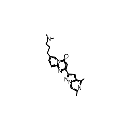 Cc1cn2nc(-c3cc(=O)n4cc(CCCN(C)C)ccc4n3)cc2c(C)n1